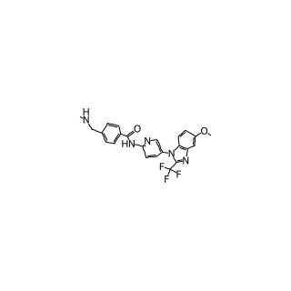 CNCc1ccc(C(=O)Nc2ccc(-n3c(C(F)(F)F)nc4cc(OC)ccc43)cn2)cc1